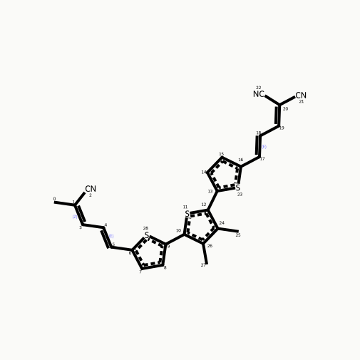 C/C(C#N)=C/C=C/c1ccc(-c2sc(-c3ccc(/C=C/C=C(C#N)C#N)s3)c(C)c2C)s1